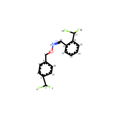 FC(F)c1ccc(CO/N=[C]\c2ccccc2C(F)F)cc1